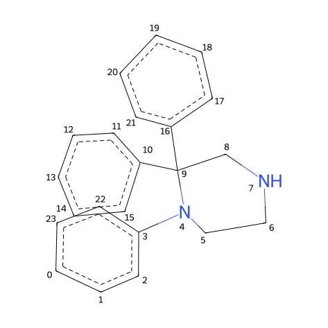 c1ccc(N2CCNCC2(c2ccccc2)c2ccccc2)cc1